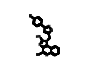 CCCc1nc2c(Cl)nc3ccccc3c2n1Cc1cc(-c2ccc(F)cc2)no1